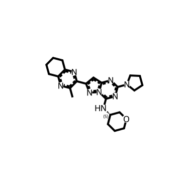 Cc1nc2c(nc1-c1cc3nc(N4CCCC4)nc(N[C@H]4CCCOC4)n3n1)CCCC2